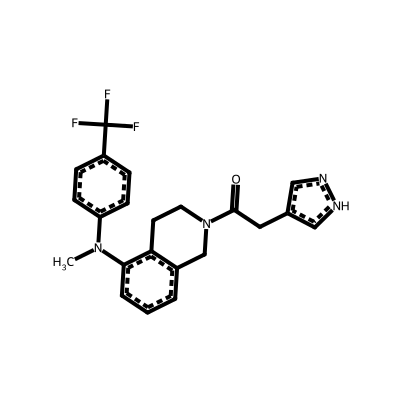 CN(c1ccc(C(F)(F)F)cc1)c1cccc2c1CCN(C(=O)Cc1cn[nH]c1)C2